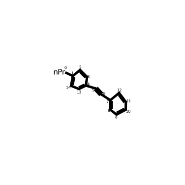 CCCc1ccc(C#Cc2ccccc2)cc1